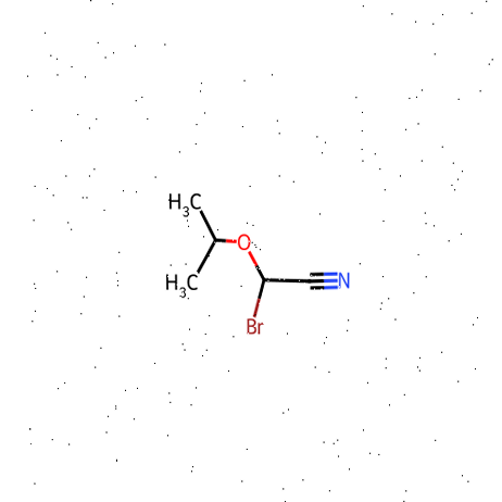 CC(C)OC(Br)C#N